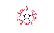 O=P(O)(O)C1C(P(=O)(O)O)C(P(=O)(O)O)C(P(=O)(O)O)C1P(=O)(O)O